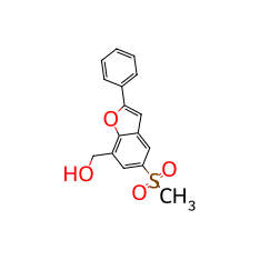 CS(=O)(=O)c1cc(CO)c2oc(-c3ccccc3)cc2c1